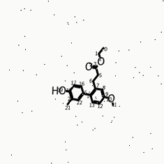 CCOC(=O)CCc1cc(OC)ccc1-c1ccc(O)c(C)c1